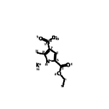 CCOC(=O)c1cc([N+](=O)[O-])c(C)[n-]1.[K+]